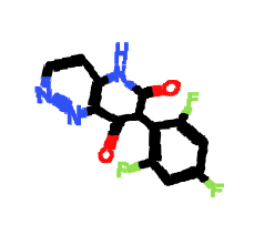 O=C1Nc2ccnnc2C(=O)C1c1c(F)cc(F)cc1F